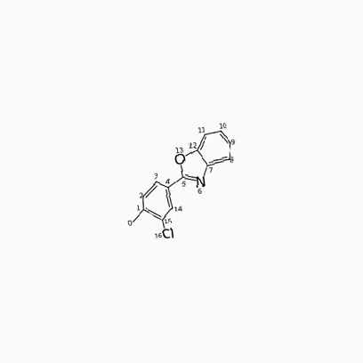 Cc1ccc(-c2nc3ccccc3o2)cc1Cl